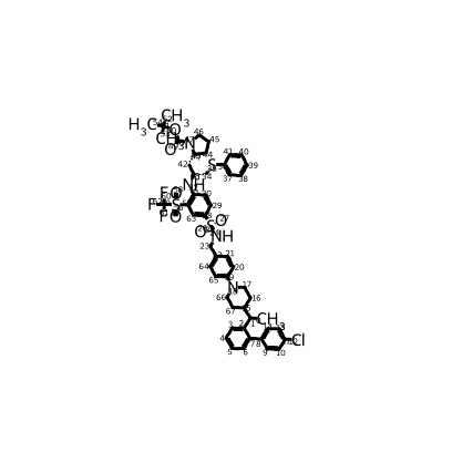 CC(c1ccccc1-c1ccc(Cl)cc1)C1CCN(c2ccc(CNS(=O)(=O)c3ccc(N[C@@H](CSc4ccccc4)C[C@H]4CCCN4C(=O)OC(C)(C)C)c(S(=O)(=O)C(F)(F)F)c3)cc2)CC1